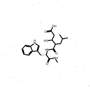 CNC(=O)[C@H](Cc1c[nH]c2ccccc12)NC(=O)C(CC(C)C)C(S)CC(=O)O